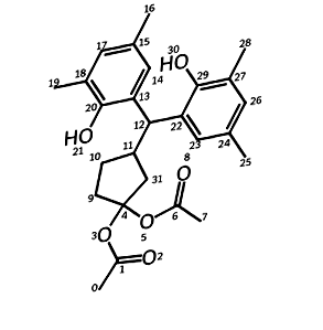 CC(=O)OC1(OC(C)=O)CCC(C(c2cc(C)cc(C)c2O)c2cc(C)cc(C)c2O)C1